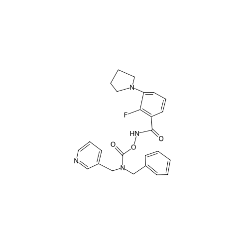 O=C(NOC(=O)N(Cc1ccccc1)Cc1cccnc1)c1cccc(N2CCCC2)c1F